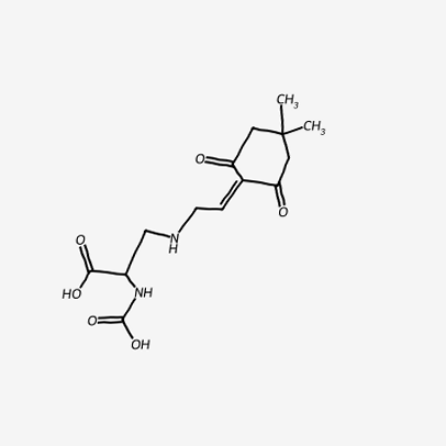 CC1(C)CC(=O)C(=CCNCC(NC(=O)O)C(=O)O)C(=O)C1